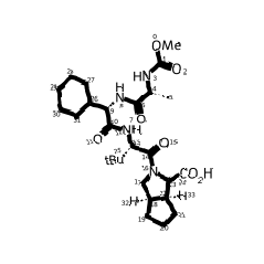 COC(=O)N[C@H](C)C(=O)N[C@H](C(=O)N[C@H](C(=O)N1C[C@@H]2CCC[C@@H]2C1C(=O)O)C(C)(C)C)C1CCCCC1